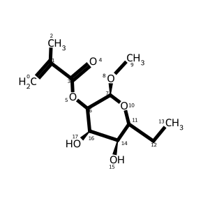 C=C(C)C(=O)OC1[C@@H](OC)OC(CC)[C@@H](O)[C@H]1O